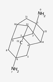 NC12CC3C4CC5(N)CC3C(C1)C(C5)C4C2